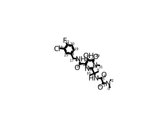 CN(C)C(=O)C(=O)NC(C)(C)c1nc(C(=O)NCc2ccc(F)c(Cl)c2)c(O)c(=O)n1C